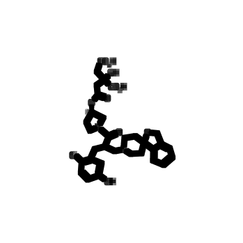 O=C(O)CC(O)(CC(=O)O[C@@H]1CCN(C(=O)C(Cc2cc(O)ccc2Cl)CN2CCC3(CC2)OCc2ccccc23)C1)C(=O)O